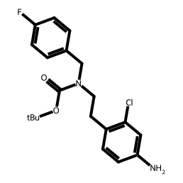 CC(C)(C)OC(=O)N(CCc1ccc(N)cc1Cl)Cc1ccc(F)cc1